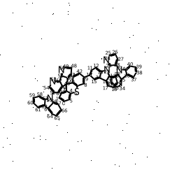 c1ccc2c(c1)Sc1cc(-c3ccc4c(c3)c3ccccc3n4-c3ncccc3-n3c4ccccc4c4ccccc43)ccc1C21c2cccnc2-c2ncc(-n3c4ccccc4c4ccccc43)cc21